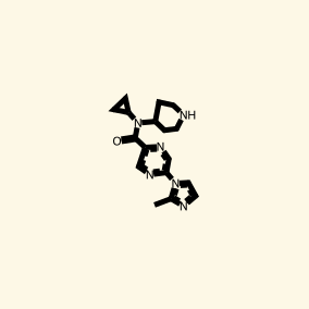 Cc1nccn1-c1cnc(C(=O)N(C2CCNCC2)C2CC2)cn1